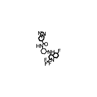 O=C(N[C@@H]1CCC[C@H](Nc2cc(C(F)(F)F)nc3ccc(F)cc23)C1)c1ccc2ncnn2c1